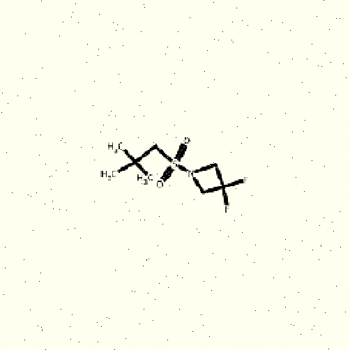 CC(C)(C)CS(=O)(=O)N1CC(F)(F)C1